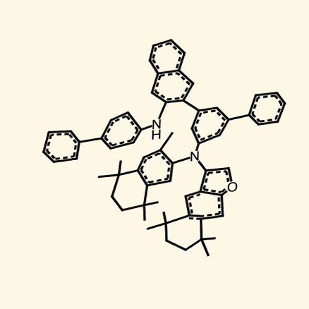 Cc1cc2c(cc1N(c1cc(-c3ccccc3)cc(-c3cc4ccccc4cc3Nc3ccc(-c4ccccc4)cc3)c1)c1coc3cc4c(cc13)C(C)(C)CCC4(C)C)C(C)(C)CCC2(C)C